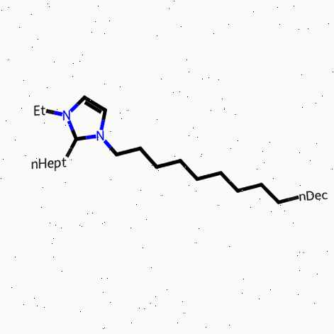 CCCCCCCCCCCCCCCCCCCN1C=CN(CC)C1CCCCCCC